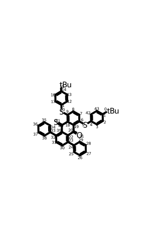 CC(C)(C)c1ccc(Sc2ccc(Sc3ccc(C(C)(C)C)cc3)c3c2C(=O)c2c(-c4ccccc4)ccc(-c4ccccc4)c2C3=S)cc1